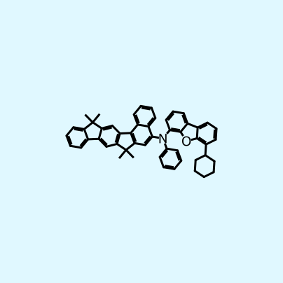 CC1(C)c2ccccc2-c2cc3c(cc21)-c1c(cc(N(c2ccccc2)c2cccc4c2oc2c(C5CCCCC5)cccc24)c2ccccc12)C3(C)C